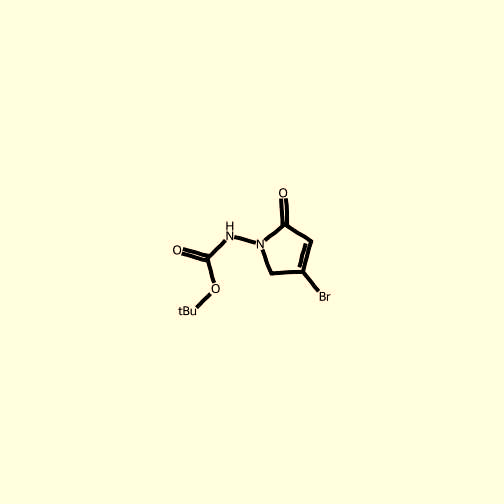 CC(C)(C)OC(=O)NN1CC(Br)=CC1=O